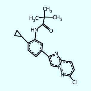 CC(C)(C)C(=O)Nc1cc(-c2cn3nc(Cl)ccc3n2)ccc1C1CC1